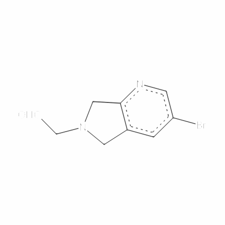 O=CCN1Cc2cc(Br)cnc2C1